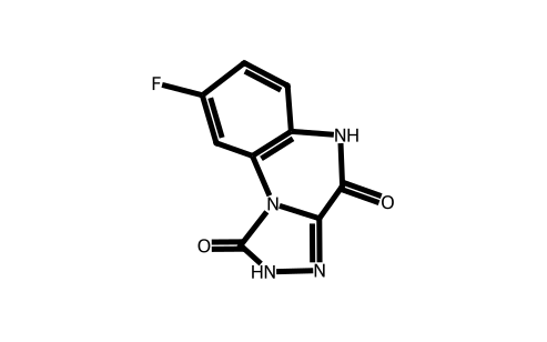 O=c1[nH]c2ccc(F)cc2n2c(=O)[nH]nc12